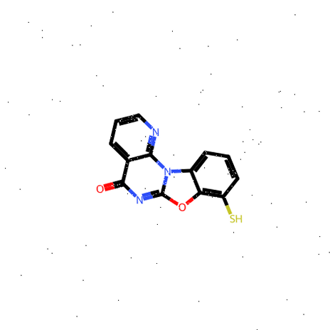 O=c1nc2oc3c(S)cccc3n2c2ncccc12